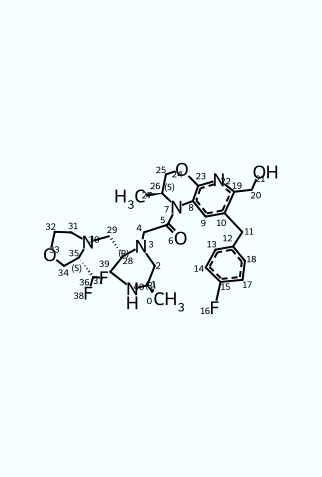 C[C@@H]1CN(CC(=O)N2c3cc(Cc4ccc(F)cc4)c(CO)nc3OC[C@@H]2C)[C@@H](CN2CCOC[C@H]2C(F)F)CN1